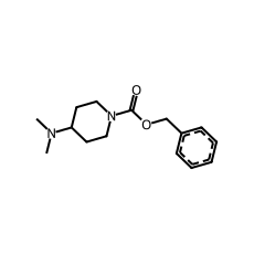 CN(C)C1CCN(C(=O)OCc2ccccc2)CC1